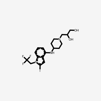 OCC(O)CN1CCC(Nc2cccc3c2cc(I)n3CC(F)(F)F)CC1